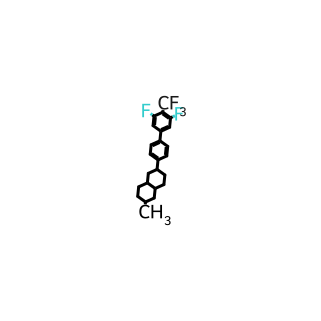 CC1CCC2CC(c3ccc(-c4cc(F)c(C(F)(F)F)c(F)c4)cc3)CCC2C1